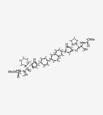 COC(=O)N[C@H](C(=O)N1CCC[C@H]1c1ncc(-c2ccc3cc(-c4ccc(-c5cnc([C@H]6CCCC[C@H]6C(=O)N(NC(=O)OC)C(C)C)[nH]5)cc4)ccc3c2)[nH]1)C(C)C